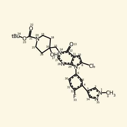 Cn1cc(-c2cc(-n3c(Cl)cc4c(=O)n(CC5(O)CCN(C(=O)OC(C)(C)C)CC5)cnc43)ccc2F)cn1